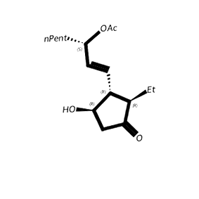 CCCCC[C@@H](C=C[C@H]1[C@H](O)CC(=O)[C@@H]1CC)OC(C)=O